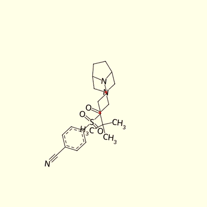 CC(C)(C)C(=O)CN1CC2CCC(C1)N2CCCS(=O)(=O)c1ccc(C#N)cc1